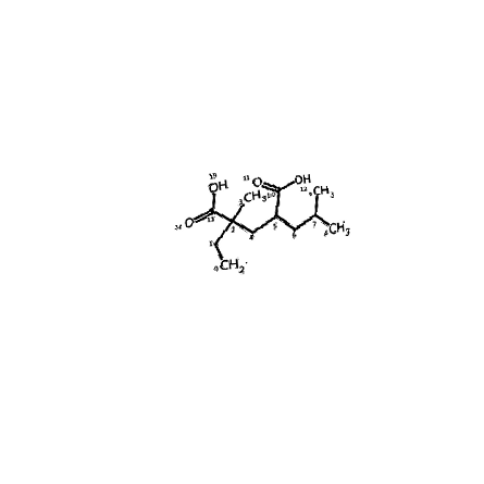 [CH2]CC(C)(CC(CC(C)C)C(=O)O)C(=O)O